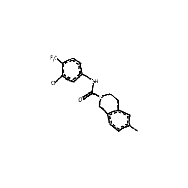 Cc1ccc2c(c1)CCN(C(=O)Nc1ccc(C(F)(F)F)c(Cl)c1)C2